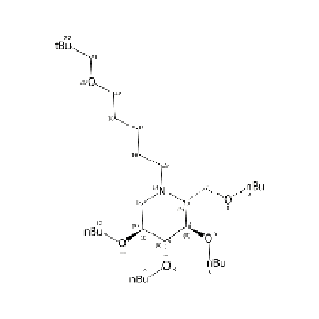 CCCCOC[C@@H]1[C@@H](OCCCC)[C@H](OCCCC)[C@@H](OCCCC)CN1CCCCCOCC(C)(C)C